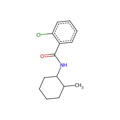 CC1CCCCC1NC(=O)c1ccccc1Cl